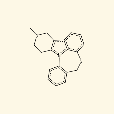 CN1CCc2c(c3cccc4c3n2-c2ccccc2CS4)C1